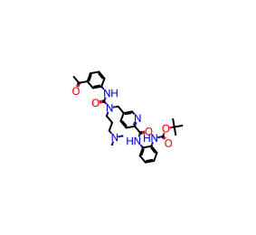 CC(=O)c1cccc(NC(=O)N(CCCN(C)C)Cc2ccc(C(=O)Nc3ccccc3NC(=O)OC(C)(C)C)nc2)c1